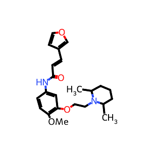 COc1ccc(NC(=O)C=Cc2ccoc2)cc1OCCN1C(C)CCCC1C